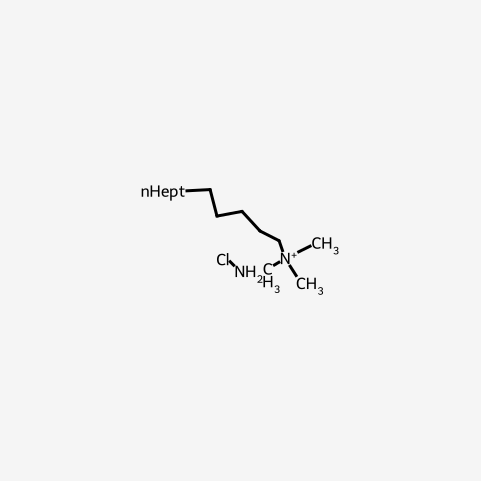 CCCCCCCCCCCC[N+](C)(C)C.NCl